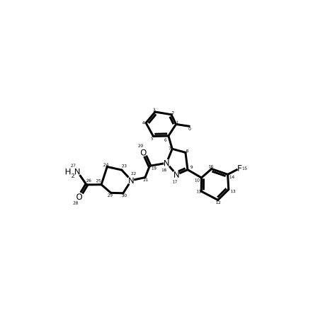 Cc1ccccc1C1CC(c2cccc(F)c2)=NN1C(=O)CN1CCC(C(N)=O)CC1